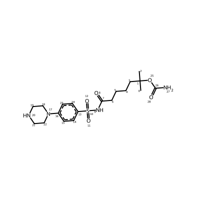 CC(C)(CCCCC(=O)NS(=O)(=O)c1ccc(N2CCNCC2)cc1)OC(N)=O